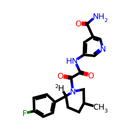 [2H]C1(c2ccc(F)cc2)CCC(C)CN1C(=O)C(=O)Nc1cncc(C(N)=O)c1